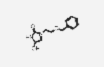 O=C1NC(O)CN1CCOCc1ccccc1